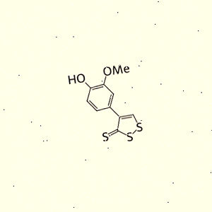 COc1cc(-c2cssc2=S)ccc1O